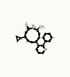 Cc1ccc(-c2cccnc2-c2ccccc2)ccc(C2CC2)cc(=O)[nH]1